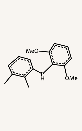 COc1cccc(OC)c1Pc1cccc(C)c1C